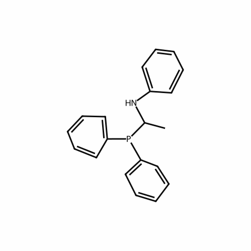 CC(Nc1ccccc1)P(c1ccccc1)c1ccccc1